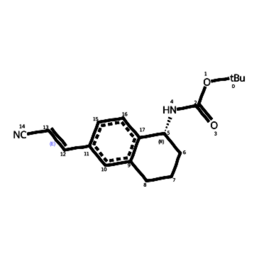 CC(C)(C)OC(=O)N[C@@H]1CCCc2cc(/C=C/C#N)ccc21